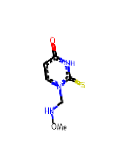 CONCn1ccc(=O)[nH]c1=S